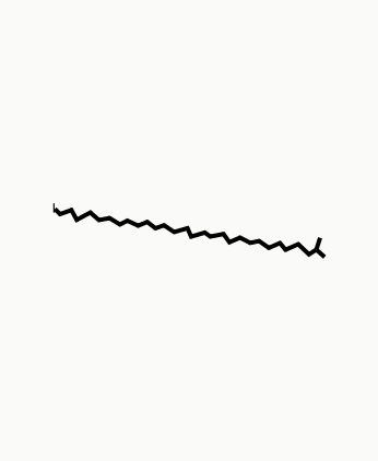 CC(C)CCCCCCCCCCCCCCCCCCCCCCCCCCCI